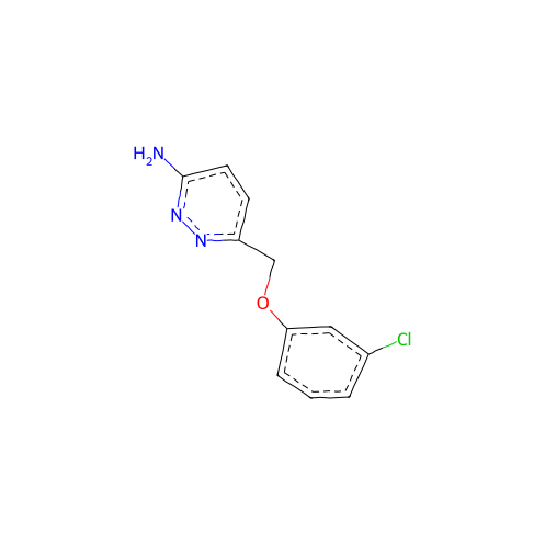 Nc1ccc(COc2cccc(Cl)c2)nn1